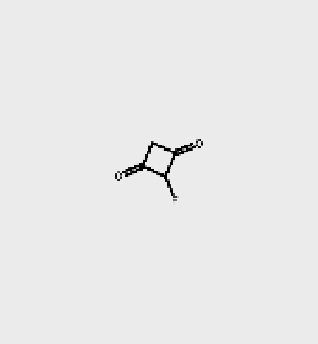 O=C1CC(=O)C1F